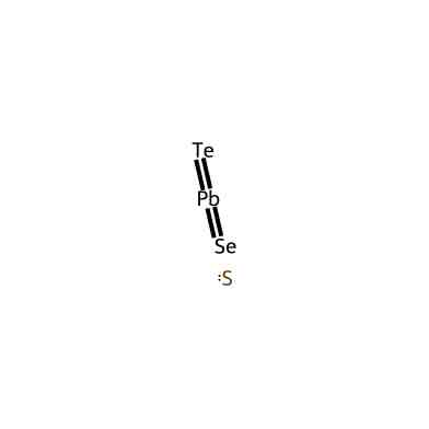 [S].[Se]=[Pb]=[Te]